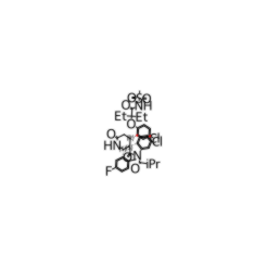 CCC(CC)(Oc1ccc(Cl)cc1[C@H]1CC(=O)N[C@@H](c2cc(F)ccc2C)[C@]12C(=O)N(C(=O)C(C)C)c1cc(Cl)ccc12)C(=O)NS(C)(=O)=O